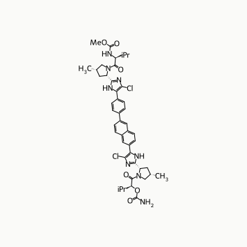 COC(=O)N[C@H](C(=O)N1C[C@@H](C)C[C@H]1c1nc(Cl)c(-c2ccc(-c3ccc4cc(-c5[nH]c([C@@H]6C[C@H](C)CN6C(=O)[C@@H](OC(N)=O)C(C)C)nc5Cl)ccc4c3)cc2)[nH]1)C(C)C